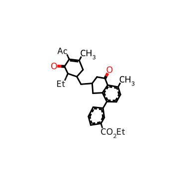 CCOC(=O)c1cccc(-c2ccc(C)c3c2CC(CC2CC(C)=C(C(C)=O)C(=O)C2CC)CC3=O)c1